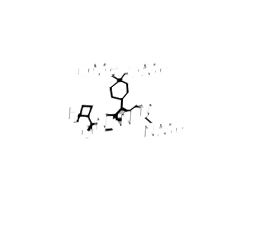 CNCCN(C)Cc1nn2c(c1C1CCC(COC)(COC)CC1)CN(C(=O)C1CCC1(F)F)CC2